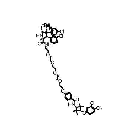 CC(C)(C)C[C@@H]1N[C@@H](C(=O)NCCOCCOCCOCCOCCOc2ccc(C(=O)N[C@H]3C(C)(C)[C@H](Oc4ccc(C#N)c(Cl)c4)C3(C)C)cc2)[C@H](c2cccc(Cl)c2F)[C@@]1(C#N)c1ccc(Cl)cc1F